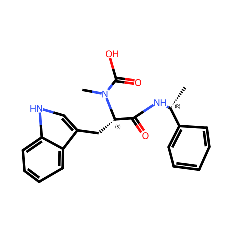 C[C@@H](NC(=O)[C@H](Cc1c[nH]c2ccccc12)N(C)C(=O)O)c1ccccc1